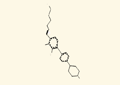 CCCCC/C=C/c1ccc(-c2ccc(C3CCC(F)CC3)cc2)c(F)c1F